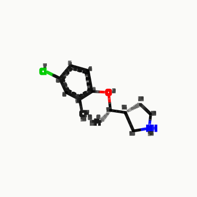 CCC[C@H](Oc1ccc(Cl)cc1C(F)(F)F)[C@@H]1CCNC1